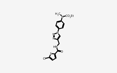 CCOC(=O)N(C)c1ccc(-n2cc(CNC(=O)c3ccc(Cl)s3)nn2)cc1